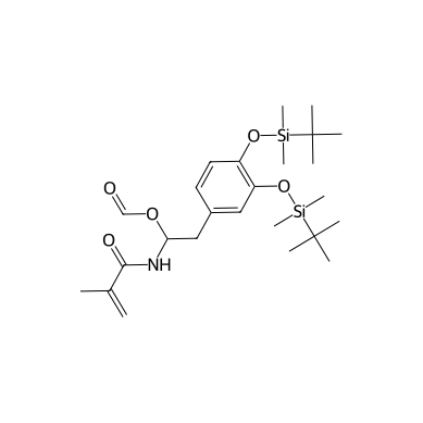 C=C(C)C(=O)NC(Cc1ccc(O[Si](C)(C)C(C)(C)C)c(O[Si](C)(C)C(C)(C)C)c1)OC=O